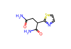 NC(=O)CC(C(N)=O)c1nccs1